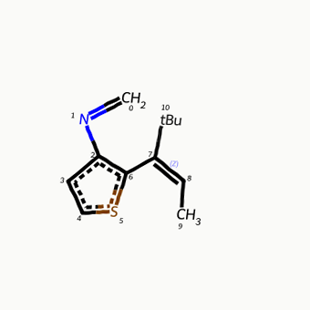 C=Nc1ccsc1/C(=C\C)C(C)(C)C